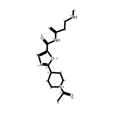 C=C(CCNC)NC(=O)c1cnc(C2CCN(C(C)=O)CC2)o1